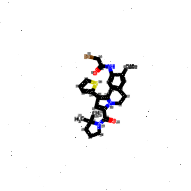 COc1cc2c(cc1NC(=O)CBr)-c1c(-c3cccs3)cc(C(=O)N3CCCC3(C)C)n1CC2